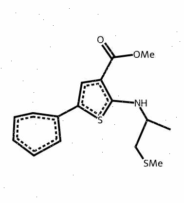 COC(=O)c1cc(-c2ccccc2)sc1NC(C)CSC